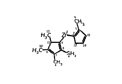 CC1=[C]([Zr][C]2=C([SiH3])C(C)=C(C)C2C)CC=C1